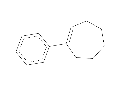 [c]1ccc(C2=CCCCCC2)cc1